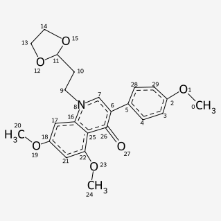 COc1ccc(-c2cn(CCC3OCCO3)c3cc(OC)cc(OC)c3c2=O)cc1